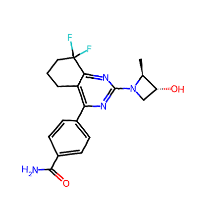 C[C@H]1[C@H](O)CN1c1nc(-c2ccc(C(N)=O)cc2)c2c(n1)C(F)(F)CCC2